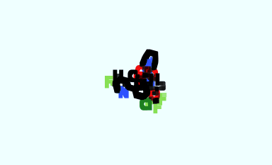 CC(C)(C)OC(=O)N1C2CCC1CN(c1nc3c(OC(F)(F)F)c(Cl)cc(-c4ccc(F)cn4)c3o1)C2